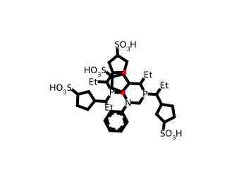 CCC(C1CCC(S(=O)(=O)O)C1)P(CN(CP(C(CC)C1CCC(S(=O)(=O)O)C1)C(CC)C1CCC(S(=O)(=O)O)C1)c1ccccc1)C(CC)C1CCC(S(=O)(=O)O)C1